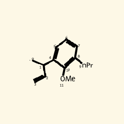 [CH2]C(C=C)c1cccc(CCC)c1OC